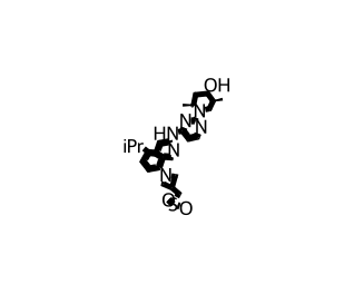 CC(C)c1ccc(N2CC(CS(C)(=O)=O)C2)c2cnc(Nc3ccnc(N4C[C@H](C)[C@@H](O)C[C@@H]4C)n3)cc12